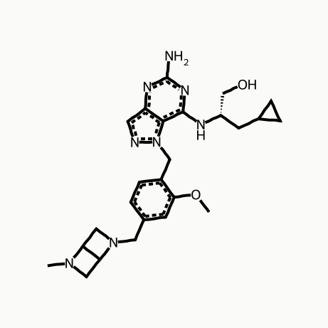 COc1cc(CN2CC3C2CN3C)ccc1Cn1ncc2nc(N)nc(N[C@H](CO)CC3CC3)c21